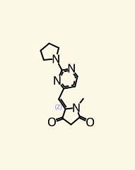 CN1C(=O)CC(=O)/C1=C/c1ccnc(N2CCCC2)n1